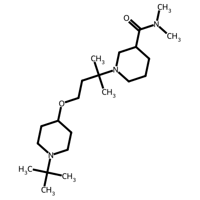 CN(C)C(=O)C1CCCN(C(C)(C)CCOC2CCN(C(C)(C)C)CC2)C1